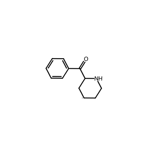 O=C(c1ccccc1)C1C[CH]CCN1